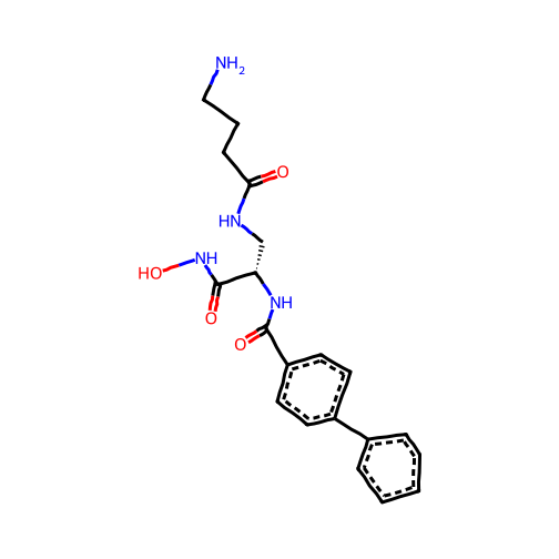 NCCCC(=O)NC[C@H](NC(=O)c1ccc(-c2ccccc2)cc1)C(=O)NO